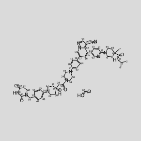 CC(C)NC(=O)C1(C)CCN(c2ccc(-c3cc(-c4ccc(N5CCN(C(=O)CC6(O)CCN(c7ccc(CN8CCC(=O)NC8=O)cc7)CC6)CC5)cc4)cn4ncc(C#N)c34)cn2)CC1.O=CO